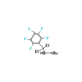 CCCCBC(CC)(CC)c1c(F)c(F)c(F)c(F)c1F